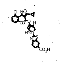 O=C(O)c1ccc2nc(N3C[C@@H]4C[C@H]3C[C@H]4OC(=O)c3c(-c4c(Cl)cccc4Cl)noc3C3CC3)sc2c1